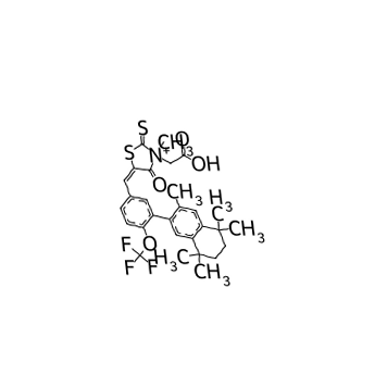 Cc1cc2c(cc1-c1cc(C=C3SC(=S)[N+](C)(CC(=O)O)C3=O)ccc1OC(F)(F)F)C(C)(C)CCC2(C)C